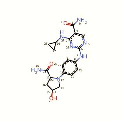 NC(=O)c1cnc(Nc2ccc(N3C[C@@H](O)C[C@H]3C(N)=O)cc2)nc1NC1CC1